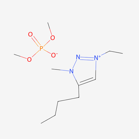 CCCCc1c[n+](CC)nn1C.COP(=O)([O-])OC